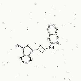 CC(C)N1SN(C2CC(Nc3ncc4ccccc4n3)C2)c2nccnc21